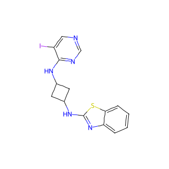 Ic1cncnc1NC1CC(Nc2nc3ccccc3s2)C1